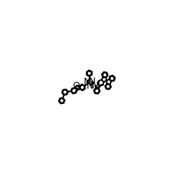 C1=c2c(n(-c3nc(-c4ccccc4)nc(-c4ccc5c(c4)oc4cc(-c6cccc(-c7ccccc7)c6)ccc45)n3)c3ccccc23)=CC2c3ccccc3C3(c4ccccc4-c4ccccc43)C12